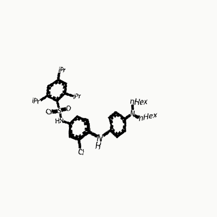 CCCCCCN(CCCCCC)c1ccc(Nc2ccc(NS(=O)(=O)c3c(C(C)C)cc(C(C)C)cc3C(C)C)cc2Cl)cc1